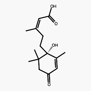 CC1=CC(=O)CC(C)(C)[C@@]1(O)CC/C(C)=C\C(=O)O